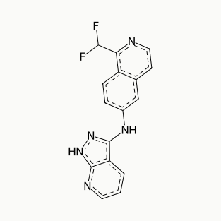 FC(F)c1nccc2cc(Nc3n[nH]c4ncccc34)ccc12